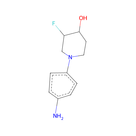 Nc1ccc(N2CCC(O)C(F)C2)cc1